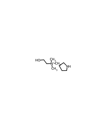 C1CCNC1.C[N+](C)(C)CCO